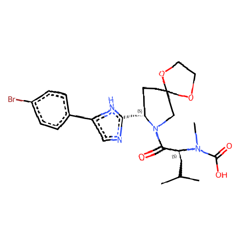 CC(C)[C@@H](C(=O)N1CC2(C[C@H]1c1ncc(-c3ccc(Br)cc3)[nH]1)OCCO2)N(C)C(=O)O